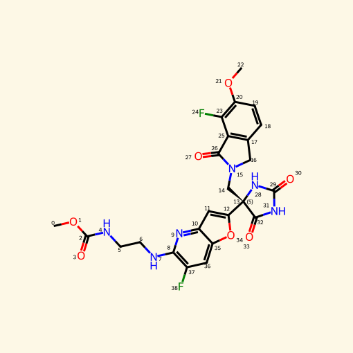 COC(=O)NCCNc1nc2cc([C@]3(CN4Cc5ccc(OC)c(F)c5C4=O)NC(=O)NC3=O)oc2cc1F